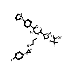 O=C(N[C@@H](CCCN[C@@H]1C[C@H]1c1ccc(F)cc1)C(=O)C1CCN1)c1ccc(-n2cccn2)cc1.O=C(O)C(F)(F)F